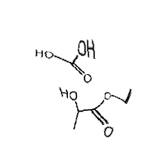 CCOC(=O)C(C)O.O=C(O)O